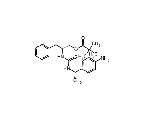 C[C@@H](NC(=S)N[C@@H](COC(=O)C(C)(C)C)Cc1ccccc1)c1ccc(N)cc1